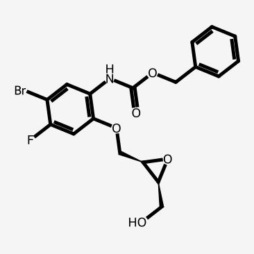 O=C(Nc1cc(Br)c(F)cc1OC[C@H]1O[C@H]1CO)OCc1ccccc1